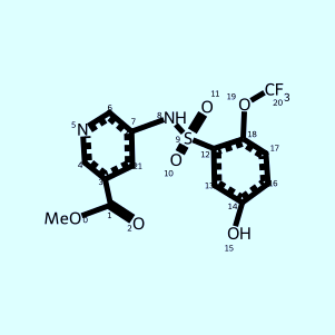 COC(=O)c1cncc(NS(=O)(=O)c2cc(O)ccc2OC(F)(F)F)c1